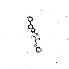 O=C(NCCOc1cccnc1)Nc1cc2cc(-c3cccnc3)ccn2n1